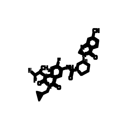 CC(C(F)F)n1c(=O)n(CC2CC2)c(=O)c2cc(NC(=O)N3CCC[C@@H](n4cnc5cc(C#N)ccc5c4=O)C3)c(F)cc21